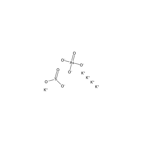 O=[As]([O-])([O-])[O-].[K+].[K+].[K+].[K+].[K+].[O]=[Ti]([O-])[O-]